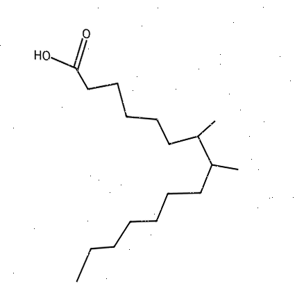 CCCCCCCC(C)C(C)CCCCCC(=O)O